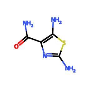 NC(=O)c1nc(N)sc1N